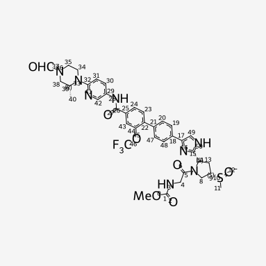 COC(=O)NCC(=O)N1C[C@@H]([S+](C)[O-])C[C@H]1c1nc(-c2ccc(-c3ccc(C(=O)Nc4ccc(N5CCN(C=O)C[C@H]5C)nc4)cc3OC(F)(F)F)cc2)c[nH]1